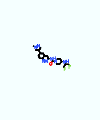 Cn1cc(-c2ccc3nnc(NC(=O)N4CCC(NC(CF)CF)CC4)cc3c2)cn1